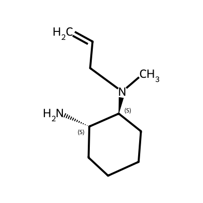 C=CCN(C)[C@H]1CCCC[C@@H]1N